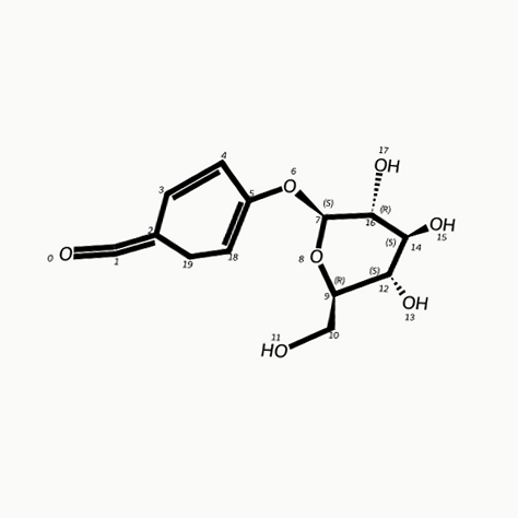 O=C=C1C=CC(O[C@@H]2O[C@H](CO)[C@@H](O)[C@H](O)[C@H]2O)=CC1